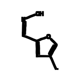 [CH2]c1coc(/C=N\O)c1